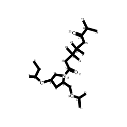 CCC(C)OC1CC(COC(C)C)N(C(=O)CC(C)(C)C(C)(C)CC(=O)C(C)C)C1